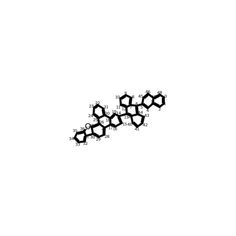 c1ccc2cc(-c3c4ccccc4c(-c4ccc5c(c4)c4ccccc4c4c5ccc5c6ccccc6oc54)c4ccccc34)ccc2c1